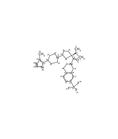 CC(C)[C@]1(C(=O)N2CCc3ccc(C(F)(F)F)cc3C2)CCC(N2CCC(c3nnnn3C)CC2)C1